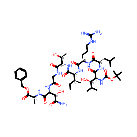 CC[C@H](C)[C@H](NC(=O)[C@@H](CCCNC(=N)N)NC(=O)[C@H](CC(C)C)NC(=O)[C@@H](NC(=O)OC(C)(C)C)[C@H](O)C(C)C)C(=O)N[C@H](C(=O)NCC(=O)N[C@H](C(=O)N[C@@H](C)C(=O)OCc1ccccc1)[C@H](O)C(N)=O)[C@H](C)O